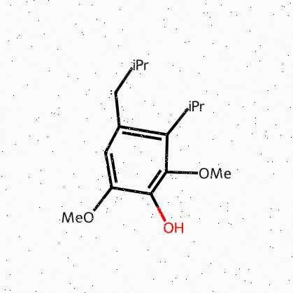 COc1cc([C]C(C)C)c(C(C)C)c(OC)c1O